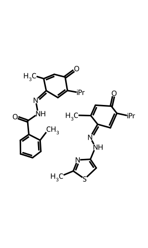 CC1=CC(=O)C(C(C)C)=CC1=NNC(=O)c1ccccc1C.CC1=CC(=O)C(C(C)C)=CC1=NNc1csc(C)n1